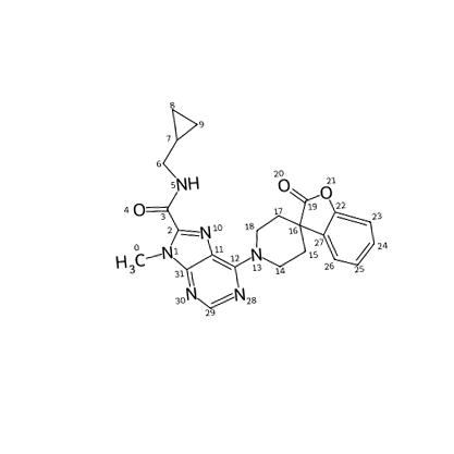 Cn1c(C(=O)NCC2CC2)nc2c(N3CCC4(CC3)C(=O)Oc3ccccc34)ncnc21